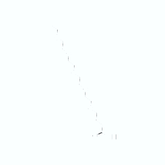 [CH2]COCCOCCOCCOCCOCCCC(=O)O